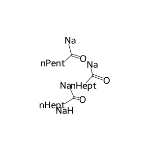 CCCCCCC[C](=O)[Na].CCCCCCC[C](=O)[Na].CCCCC[C](=O)[Na].[NaH]